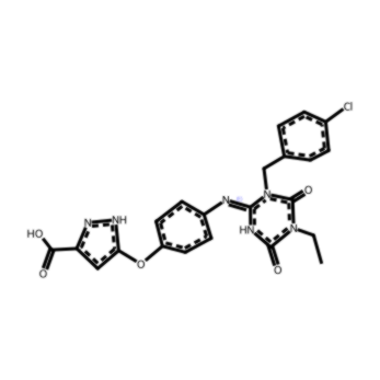 CCn1c(=O)[nH]/c(=N\c2ccc(Oc3cc(C(=O)O)n[nH]3)cc2)n(Cc2ccc(Cl)cc2)c1=O